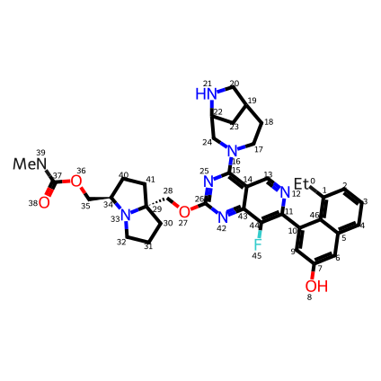 CCc1cccc2cc(O)cc(-c3ncc4c(N5CCC6CNC(C6)C5)nc(OC[C@]56CCCN5[C@@H](COC(=O)NC)CC6)nc4c3F)c12